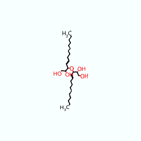 CCCCCCCCCC=CC(OC(C=CCCCCCCCCC)C(O)CO)C(O)CO